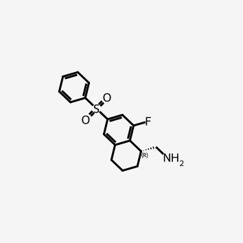 NC[C@@H]1CCCc2cc(S(=O)(=O)c3ccccc3)cc(F)c21